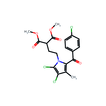 COC(=O)C(CCn1c(Cl)c(Cl)c(C)c1C(=O)c1ccc(Cl)cc1)C(=O)OC